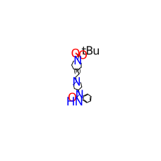 CC(C)(C)OC(=O)N1CCC[C@H](CCN2CCC(n3c(=O)[nH]c4ccccc43)CC2)CC1